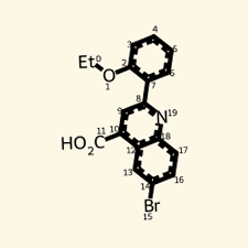 CCOc1ccccc1-c1cc(C(=O)O)c2cc(Br)ccc2n1